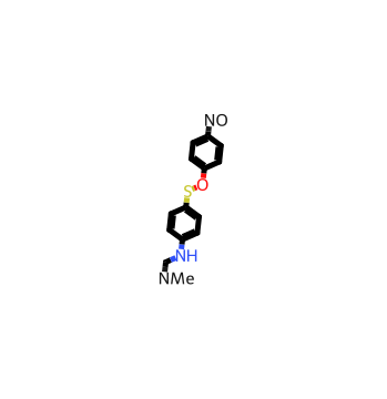 CNCNc1ccc(SOc2ccc(N=O)cc2)cc1